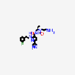 CC[C@H](CNC(=O)c1ccc(-c2cnn(C)c2)nc1NCCc1cccc(F)c1)N(C=O)CCCN